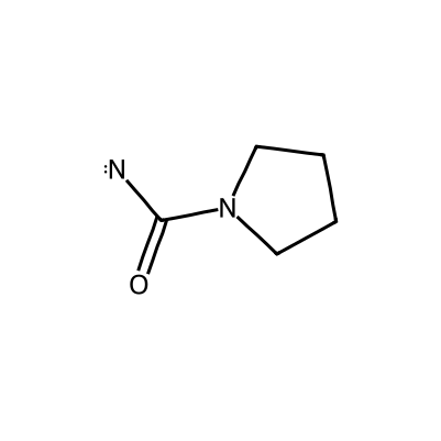 [N]C(=O)N1CCCC1